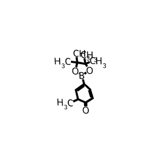 CC1C=C(B2OC(C)(C)C(C)(C)O2)C=CC1=O